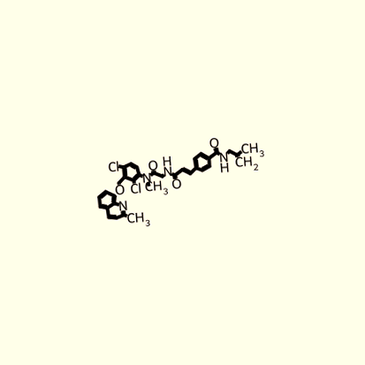 C=C(C)CNC(=O)c1ccc(C=CC(=O)NCC(=O)N(C)c2ccc(Cl)c(COc3cccc4ccc(C)nc34)c2Cl)cc1